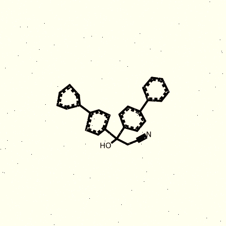 N#CCC(O)(c1ccc(-c2ccccc2)cc1)c1ccc(-c2ccccc2)cc1